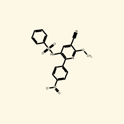 COc1nc(-c2ccc([N+](=O)[O-])cc2)c(NS(=O)(=O)c2ccccc2)cc1C#N